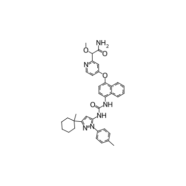 COC(C(N)=O)c1cc(Oc2ccc(NC(=O)Nc3cc(C4(C)CCCCC4)nn3-c3ccc(C)cc3)c3ccccc23)ccn1